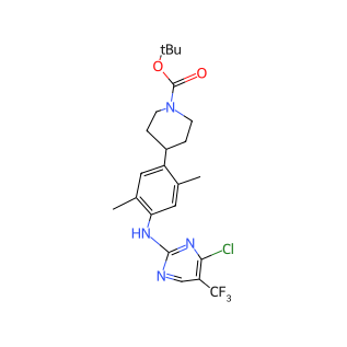 Cc1cc(C2CCN(C(=O)OC(C)(C)C)CC2)c(C)cc1Nc1ncc(C(F)(F)F)c(Cl)n1